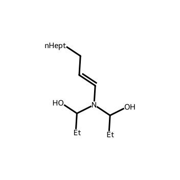 CCCCCCCCC=CN(C(O)CC)C(O)CC